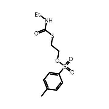 CCNC(=O)SCCOS(=O)(=O)c1ccc(C)cc1